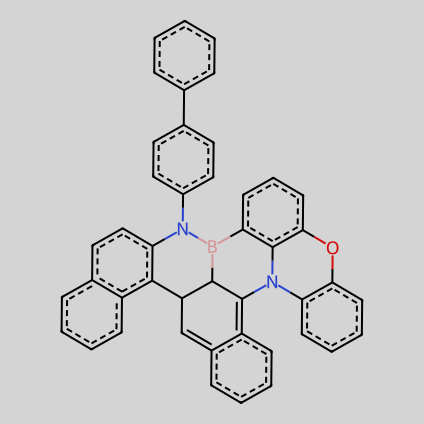 C1=c2ccccc2=C2C3B(c4cccc5c4N2c2ccccc2O5)N(c2ccc(-c4ccccc4)cc2)c2ccc4ccccc4c2C13